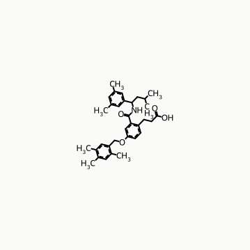 Cc1cc(C)cc(C(CC(C)C)NC(=O)c2cc(OCc3cc(C)c(C)cc3C)ccc2CCC(=O)O)c1